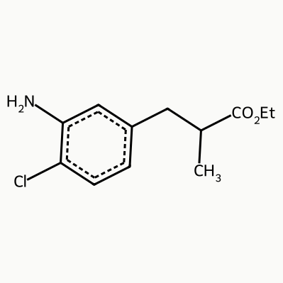 CCOC(=O)C(C)Cc1ccc(Cl)c(N)c1